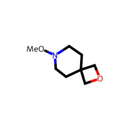 CON1CCC2(CC1)COC2